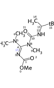 COC(=O)/N=C(/N(C)C)N(C)C(=O)NC(C)C(C)(C)C